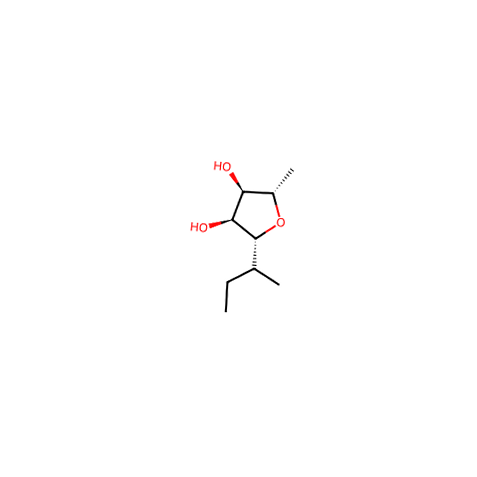 CCC(C)[C@H]1O[C@@H](C)[C@H](O)[C@@H]1O